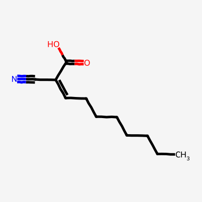 CCCCCCCC=C(C#N)C(=O)O